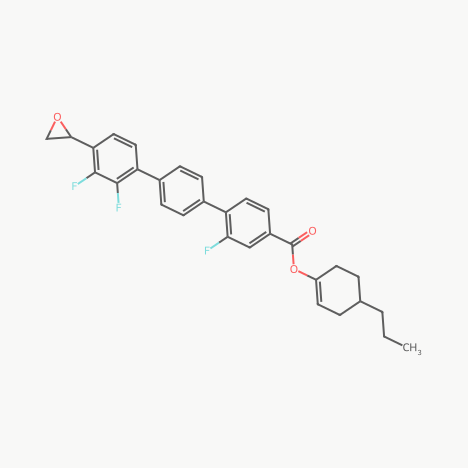 CCCC1CC=C(OC(=O)c2ccc(-c3ccc(-c4ccc(C5CO5)c(F)c4F)cc3)c(F)c2)CC1